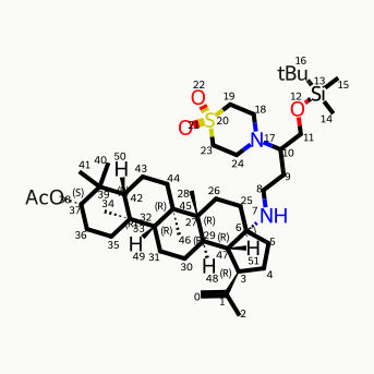 C=C(C)[C@@H]1CC[C@]2(NCCC(CO[Si](C)(C)C(C)(C)C)N3CCS(=O)(=O)CC3)CC[C@]3(C)[C@H](CC[C@@H]4[C@@]5(C)CC[C@H](OC(C)=O)C(C)(C)[C@@H]5CC[C@]43C)[C@@H]12